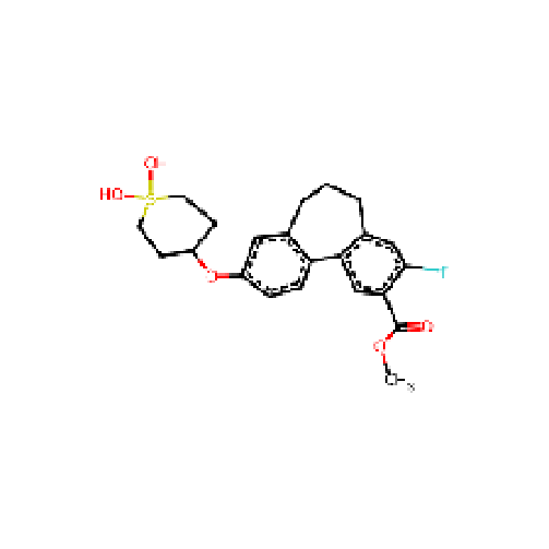 COC(=O)c1cc2c(cc1F)CCCc1cc(OC3CCS(O)(O)CC3)ccc1-2